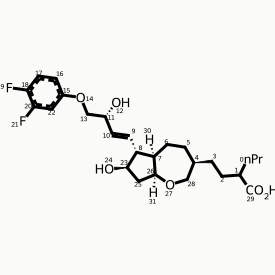 CCCC(CC[C@@H]1CC[C@@H]2[C@@H](C=C[C@@H](O)COc3ccc(F)c(F)c3)[C@H](O)C[C@@H]2OC1)C(=O)O